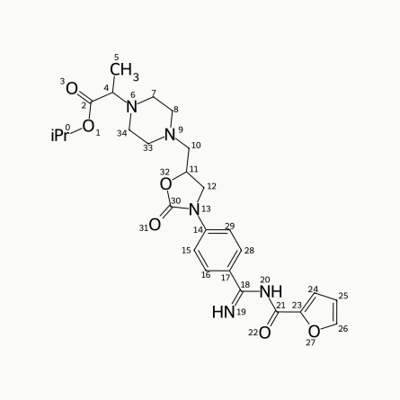 CC(C)OC(=O)C(C)N1CCN(CC2CN(c3ccc(C(=N)NC(=O)c4ccco4)cc3)C(=O)O2)CC1